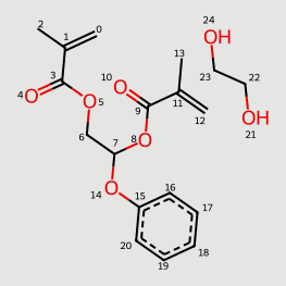 C=C(C)C(=O)OCC(OC(=O)C(=C)C)Oc1ccccc1.OCCO